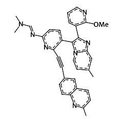 COc1ncccc1-c1nc2cc(C)ccn2c1-c1ccc(/N=C/N(C)C)nc1C#Cc1ccc2nc(C)ccc2c1